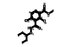 CCC(CC)ONC(=O)c1c(Cl)ccc(C(=O)OC)c1Cl